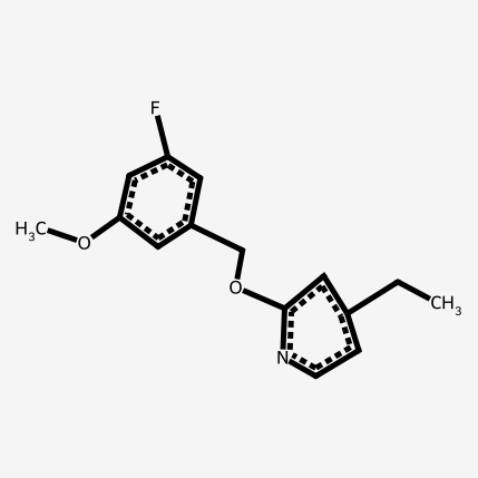 CCc1ccnc(OCc2cc(F)cc(OC)c2)c1